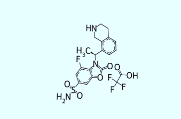 C[C@@H](c1cccc2c1CNCC2)n1c(=O)oc2cc(S(N)(=O)=O)cc(F)c21.O=C(O)C(F)(F)F